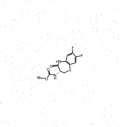 CC(C)(C)OC(=O)N[C@H]1CSc2cc(F)c(F)cc2NC1=O